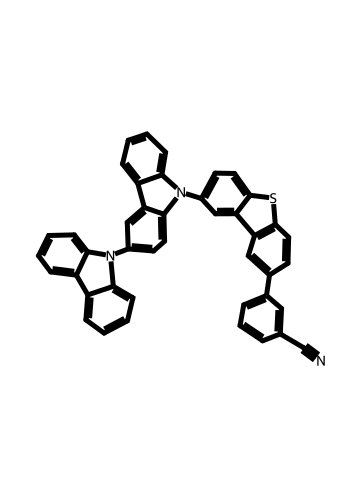 N#Cc1cccc(-c2ccc3sc4ccc(-n5c6ccccc6c6cc(-n7c8ccccc8c8ccccc87)ccc65)cc4c3c2)c1